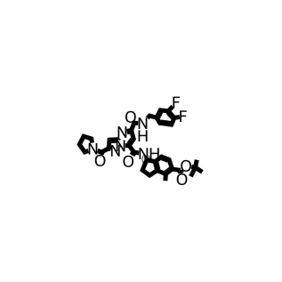 Cc1c(C(=O)OC(C)(C)C)ccc2c1CC[C@@H]2NC(=O)c1cc(C(=O)NCc2ccc(F)c(F)c2)nc2cc(C(=O)N3CCCC3)nn12